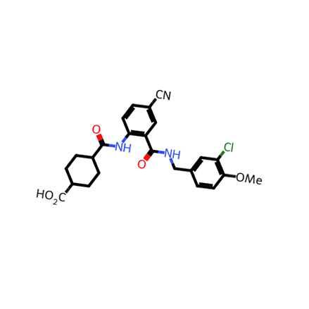 COc1ccc(CNC(=O)c2cc(C#N)ccc2NC(=O)C2CCC(C(=O)O)CC2)cc1Cl